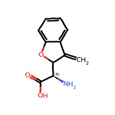 C=C1c2ccccc2OC1[C@@H](N)C(=O)O